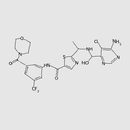 CC(NC(O)c1ncnc(N)c1Cl)c1ncc(C(=O)Nc2cc(C(=O)N3CCOCC3)cc(C(F)(F)F)c2)s1